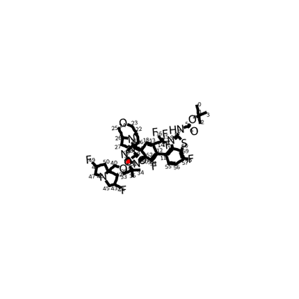 CC(C)(C)OC(=O)Nc1nc2c(-c3c(C(F)(F)F)cc4c(N5C6COCC5CN(C(=O)OC(C)(C)C)C6)nc(OCC56CC(F)CN5CC(F)C6)nc4c3F)ccc(F)c2s1